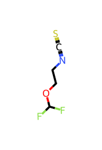 FC(F)OCCN=C=S